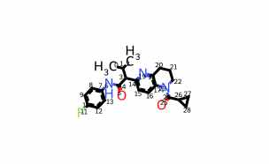 CC(C)C(C(=O)Nc1ccc(F)cc1)c1ccc2c(n1)CCCN2C(=O)C1CC1